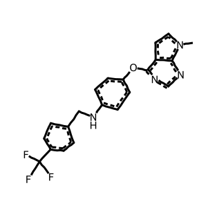 Cn1ccc2c(Oc3ccc(NCc4ccc(C(F)(F)F)cc4)cc3)ncnc21